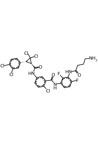 NCCCC(=O)Nc1c(F)ccc(NC(=O)c2cc(NC(=O)[C@H]3[C@H](c4ccc(Cl)c(Cl)c4)C3(Cl)Cl)ccc2Cl)c1F